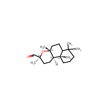 CC1(C)CCC[C@@]2(C)C1CC[C@@]1(C)O[C@](C)(C=O)CC[C@@H]12